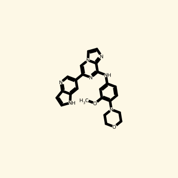 COc1cc(Nc2nc(-c3cnc4cc[nH]c4c3)cn3ccnc23)ccc1N1CCOCC1